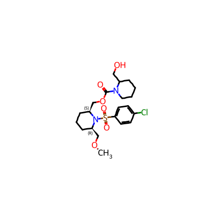 COC[C@H]1CCC[C@@H](COC(=O)N2CCCCC2CO)N1S(=O)(=O)c1ccc(Cl)cc1